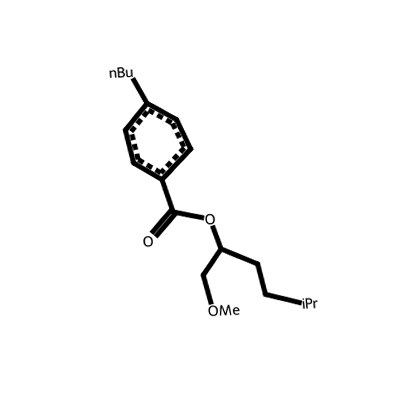 CCCCc1ccc(C(=O)OC(CCC(C)C)COC)cc1